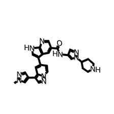 Cn1cc(-c2cnn3ccc(-c4c[nH]c5ncc(C(=O)Nc6cnn(C7CCNCC7)c6)cc45)cc23)cn1